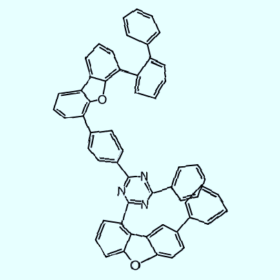 c1ccc(-c2ccc3oc4cccc(-c5nc(-c6ccccc6)nc(-c6ccc(-c7cccc8c7oc7c(-c9ccccc9-c9ccccc9)cccc78)cc6)n5)c4c3c2)cc1